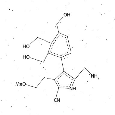 COCCc1c(C#N)[nH]c(CN)c1-c1ccc(CO)c(CO)c1CO